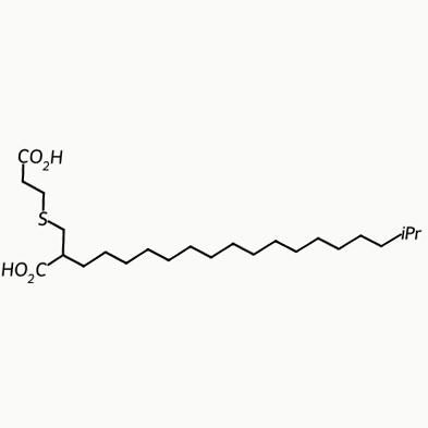 CC(C)CCCCCCCCCCCCCCCC(CSCCC(=O)O)C(=O)O